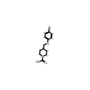 O=C(O)N1CCC(COc2ccc(Br)cc2)CC1